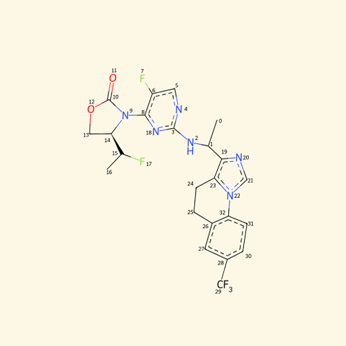 CC(Nc1ncc(F)c(N2C(=O)OC[C@@H]2C(C)F)n1)c1ncn2c1CCc1cc(C(F)(F)F)ccc1-2